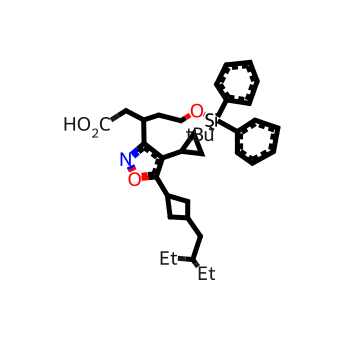 CCC(CC)CC1CC(c2onc(C(CCO[Si](c3ccccc3)(c3ccccc3)C(C)(C)C)CC(=O)O)c2C2CC2)C1